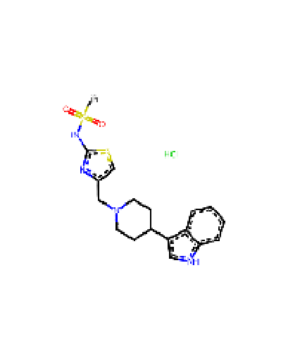 CC(C)S(=O)(=O)Nc1nc(CN2CCC(c3c[nH]c4ccccc34)CC2)cs1.Cl